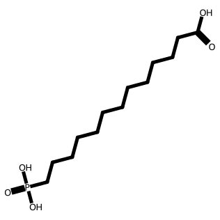 O=C(O)CCCCCCCCCCCCP(=O)(O)O